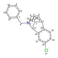 C[C@H]1C2CCN(Cc3ccccc3)C1c1cc(Cl)ccc12